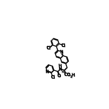 O=C(N[C@@H](Cc1ccc2nc(-c3c(Cl)cccc3Cl)ccc2c1)C(=O)O)c1cccnc1Cl